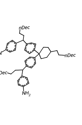 CCCCCCCCCCCCC1CCC(c2ccc(C(CCCCCCCCCCCC)c3ccc(N)cc3)cc2)(c2ccc(C(CCCCCCCCCCCC)c3ccc(N)cc3)cc2)CC1